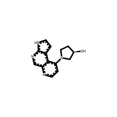 O[C@@H]1CCN(c2ccnc3cnc4[nH]ccc4c23)C1